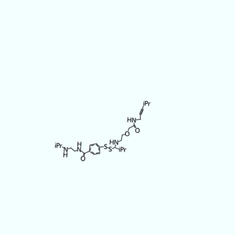 CC(C)C#CCNC(=O)COCCNC(SSc1ccc(C(=O)NCCNC(C)C)cc1)C(C)C